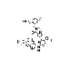 Cc1cnc(Nc2ccc(OC(C)C)nc2)nc1-c1cc2n(c1)CCN(Cc1cc(F)ccc1CO)C2=O